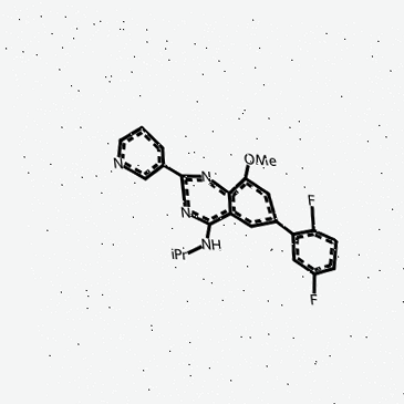 COc1cc(-c2cc(F)ccc2F)cc2c(NC(C)C)nc(-c3cccnc3)nc12